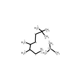 CCC(C)C(C)CCC(C)(C)C.CN(C)C